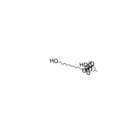 CC(C)C[C@H]1O[C@@H](C)[C@H](O)[C@@H]1OP(=O)(O)OCCCCCCCCCCCCO